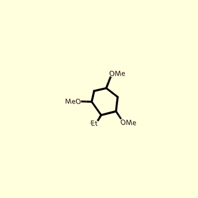 C[CH]C1C(OC)CC(OC)CC1OC